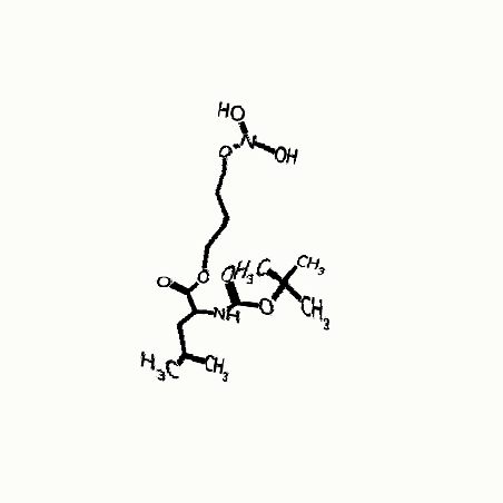 CC(C)CC(NC(=O)OC(C)(C)C)C(=O)OCCCCON(O)O